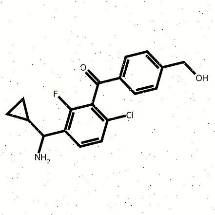 NC(c1ccc(Cl)c(C(=O)c2ccc(CO)cc2)c1F)C1CC1